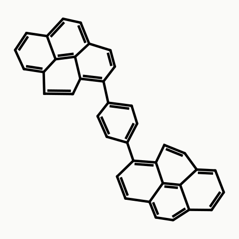 c1cc2ccc3ccc(-c4ccc(-c5ccc6ccc7cccc8ccc5c6c78)cc4)c4ccc(c1)c2c34